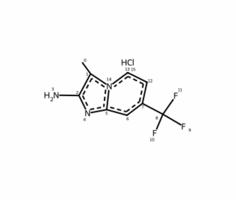 Cc1c(N)nc2cc(C(F)(F)F)ccn12.Cl